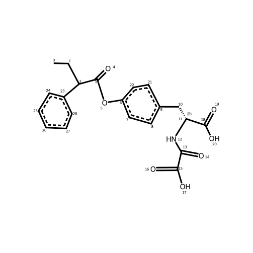 CCC(C(=O)Oc1ccc(C[C@@H](NC(=O)C(=O)O)C(=O)O)cc1)c1ccccc1